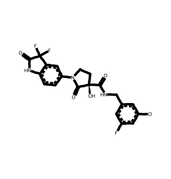 O=C1Nc2ccc(N3CC[C@](O)(C(=O)NCc4cc(F)cc(Cl)c4)C3=O)cc2C1(F)F